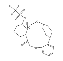 O=C1COc2ncccc2C2CCC(CC2)OC[C@H]2C(NS(=O)(=O)C(F)(F)F)CCCN12